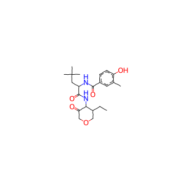 CCC1COCC(=O)C1NC(=O)C(CC(C)(C)C)NC(=O)c1ccc(O)c(C)c1